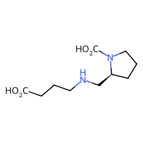 O=C(O)CCCNC[C@@H]1CCCN1C(=O)O